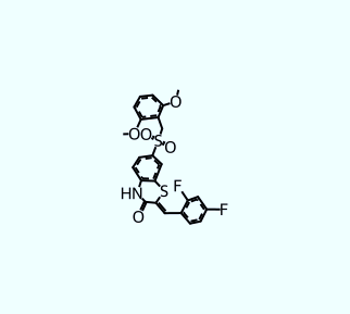 COc1cccc(OC)c1CS(=O)(=O)c1ccc2c(c1)SC(=Cc1ccc(F)cc1F)C(=O)N2